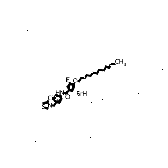 Br.CCCCCCCCCCCCCCOc1ccc(C(=O)Nc2ccc(CN3CSC=C3C)cc2)cc1F